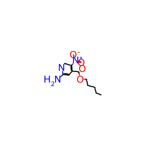 CCCCCOC(=O)c1cc(N)ncc1[N+](=O)[O-]